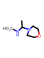 CC(NC(=O)O)N1CCOCC1